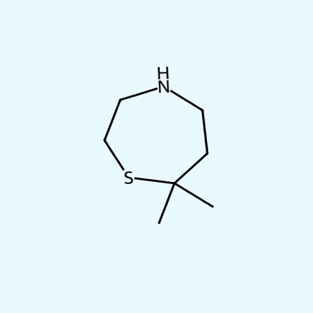 CC1(C)CCNCCS1